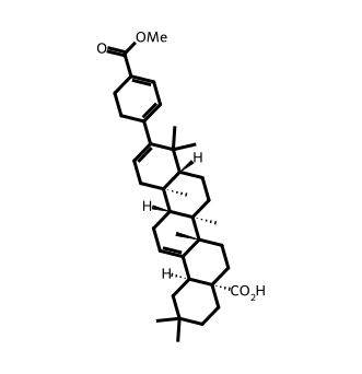 COC(=O)C1=CC=C(C2=CC[C@]3(C)[C@H]4CC=C5[C@@H]6CC(C)(C)CC[C@]6(C(=O)O)CC[C@@]5(C)[C@]4(C)CC[C@H]3C2(C)C)CC1